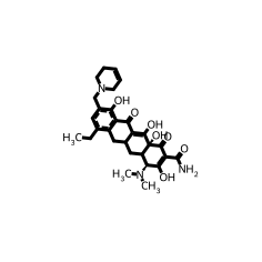 CCc1cc(CN2CC=CCC2)c(O)c2c1CC1CC3[C@H](N(C)C)C(O)=C(C(N)=O)C(=O)[C@@]3(O)C(O)=C1C2=O